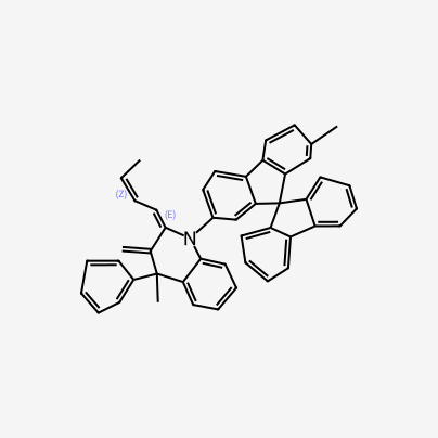 C=C1/C(=C\C=C/C)N(c2ccc3c(c2)C2(c4ccccc4-c4ccccc42)c2cc(C)ccc2-3)c2ccccc2C1(C)c1ccccc1